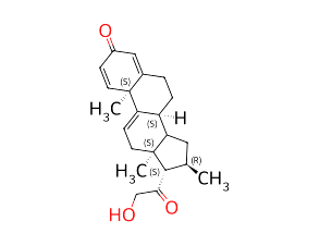 C[C@@H]1CC2[C@@H]3CCC4=CC(=O)C=C[C@]4(C)C3=CC[C@]2(C)[C@H]1C(=O)CO